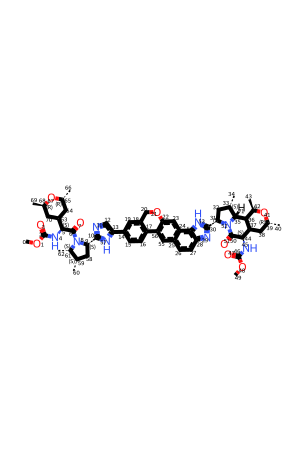 COC(=O)N[C@H](C(=O)N1[C@H](c2ncc(-c3ccc4c(c3)COc3cc5c(ccc6nc([C@@H]7C[C@H](C)[C@@H]8C9C(C[C@@H](C)O[C@@H]9C)[C@H](NC(=O)OC)C(=O)N78)[nH]c65)cc3-4)[nH]2)C[C@H](C)[C@@H]1C)C1C[C@@H](C)O[C@H](C)C1